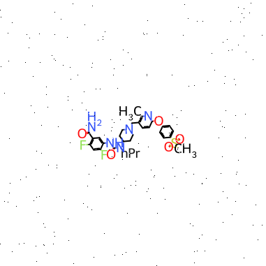 CCCN(C(=O)Nc1cc(C(N)=O)c(F)cc1F)C1CCN(Cc2ccc(Oc3ccc(S(C)(=O)=O)cc3)nc2C)CC1